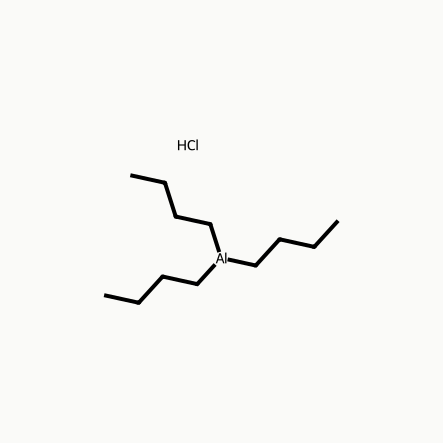 CCC[CH2][Al]([CH2]CCC)[CH2]CCC.Cl